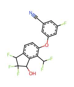 N#Cc1cc(F)cc(Oc2ccc3c(c2C(F)F)C(O)C(F)(F)C3F)c1